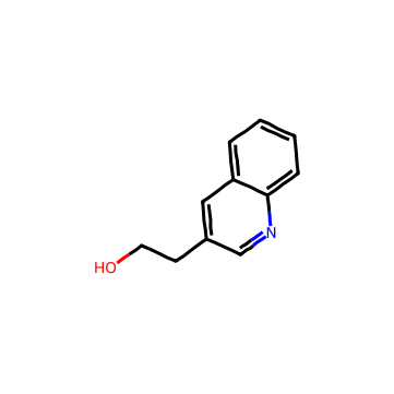 OCCc1cnc2ccccc2c1